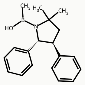 CB(O)N1[C@@H](c2ccccc2)[C@H](c2ccccc2)CC1(C)C